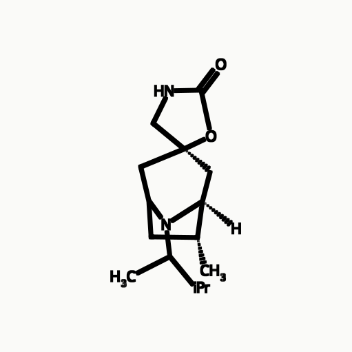 CC(C)C(C)N1C2C[C@@H](C)[C@@H]1C[C@@]1(CNC(=O)O1)C2